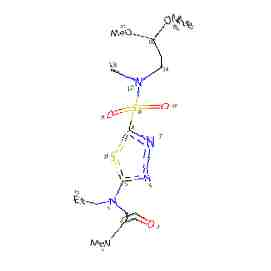 CCN(C(=O)NC)c1nnc(S(=O)(=O)N(C)CC(OC)OC)s1